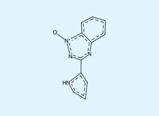 [O-][n+]1nc(-c2ccc[nH]2)nc2ccccc21